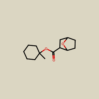 CC1(OC(=O)C2CC3CCC2O3)CCCCC1